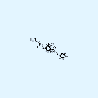 Cl.NCC=C(F)COc1ccc(C(=O)NCCc2ccccc2)cc1